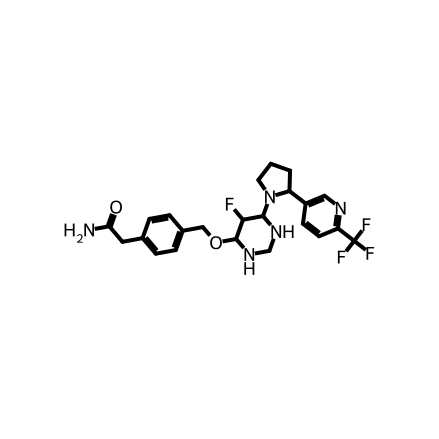 NC(=O)Cc1ccc(COC2NCNC(N3CCCC3c3ccc(C(F)(F)F)nc3)C2F)cc1